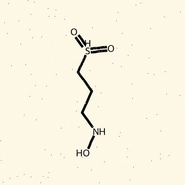 O=[SH](=O)CCCNO